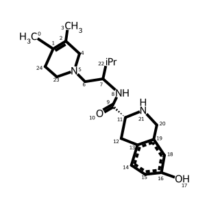 CC1=C(C)CN(CC(NC(=O)[C@H]2Cc3ccc(O)cc3CN2)C(C)C)CC1